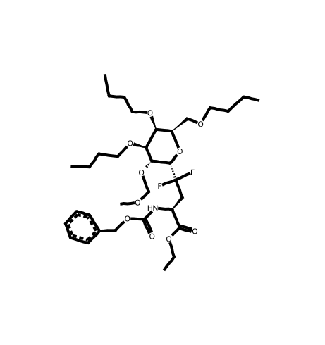 CCCCOC[C@H]1O[C@H](C(F)(F)C[C@H](NC(=O)OCc2ccccc2)C(=O)OCC)[C@H](OCOC)[C@@H](OCCCC)[C@H]1OCCCC